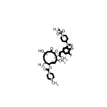 C/C(=C\c1cc(F)c2nnn(C3CCN(S(C)(=O)=O)CC3)c2c1)[C@H]1C(=O)C(=O)C[C@H](O)CC[C@H](C)[C@@H](OC(=O)N2CCN(C)CC2)/C=C/[C@@H]1C